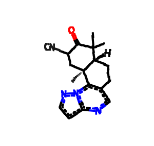 [C-]#[N+]C1C[C@]2(C)c3c(cnc4ccnn34)CC[C@H]2C(C)(C)C1=O